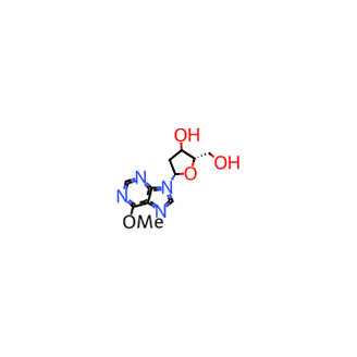 COc1ncnc2c1ncn2[C@H]1C[C@@H](O)[C@H](CO)O1